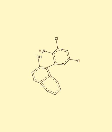 Nc1c(Cl)cc(Cl)cc1-c1c(O)ccc2ccccc12